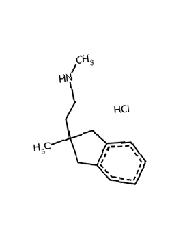 CNCCC1(C)Cc2ccccc2C1.Cl